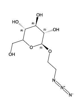 [N-]=[N+]=NCCO[C@H]1OC(CO)[C@H](O)[C@@H](O)[C@@H]1O